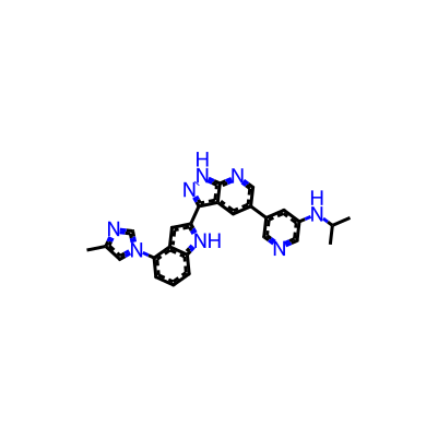 Cc1cn(-c2cccc3[nH]c(-c4n[nH]c5ncc(-c6cncc(NC(C)C)c6)cc45)cc23)cn1